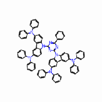 c1ccc(-c2nc(-n3c4ccc(N(c5ccccc5)c5ccccc5)cc4c4cc(N(c5ccccc5)c5ccccc5)ccc43)nc(-n3c4ccc(N(c5ccccc5)c5ccccc5)cc4c4cc(N(c5ccccc5)c5ccccc5)ccc43)n2)cc1